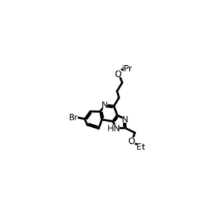 CCOCc1nc2c(CCCOC(C)C)nc3cc(Br)ccc3c2[nH]1